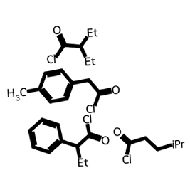 CC(C)CCC(=O)Cl.CCC(C(=O)Cl)c1ccccc1.CCC(CC)C(=O)Cl.Cc1ccc(CC(=O)Cl)cc1